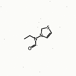 CCN([C]=O)N1C=CSC1